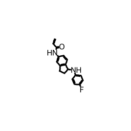 C=CC(=O)Nc1ccc2c(c1)CCC2Nc1ccc(F)cc1